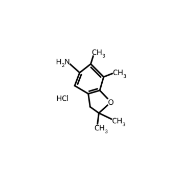 Cc1c(N)cc2c(c1C)OC(C)(C)C2.Cl